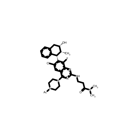 CC(=O)N1CCN(c2nc(NCCC(=O)N(C)C)nc3c(F)c([C@@H]4c5ccccc5C[C@H](O)[C@@H]4C)c(Cl)cc23)CC1